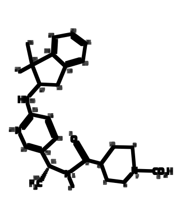 CN(C(=O)C1CCN(C(=O)O)CC1)[C@@H](c1ccc(NC2Cc3ccccc3C2(C)C)nc1)C(F)(F)F